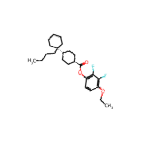 CCCCC1([C@H]2CC[C@H](C(=O)Oc3ccc(OCC)c(F)c3F)CC2)CCCCC1